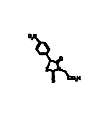 O=C(O)CN1C(=O)C(c2ccc([N+](=O)[O-])cc2)SC1=S